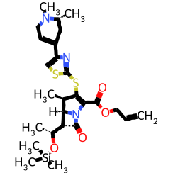 C=CCOC(=O)C1=C(Sc2nc(C3=CCN(C)[C@H](C)C3)cs2)[C@H](C)[C@@H]2[C@@H]([C@@H](C)O[Si](C)(C)C)C(=O)N12